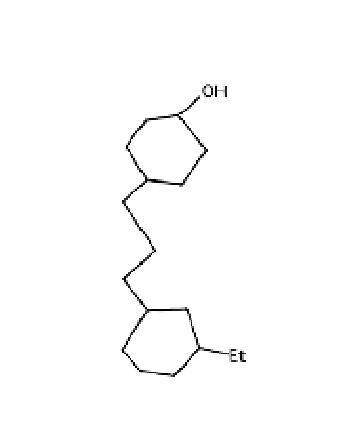 CCC1CCCC(CCCC2CCC(O)CC2)C1